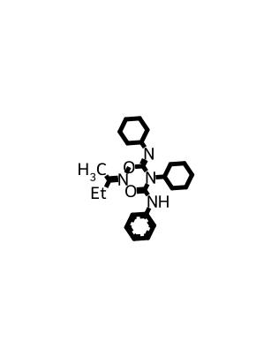 CCC(C)=NOC(=NC1CCCCC1)N(C(=O)Nc1ccccc1)C1CCCCC1